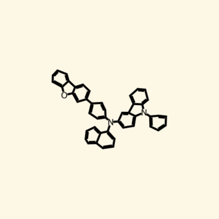 c1ccc(-n2c3ccccc3c3cc(N(c4ccc(-c5ccc6c(c5)oc5ccccc56)cc4)c4cccc5ccccc45)ccc32)cc1